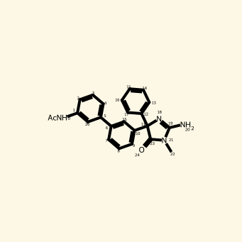 CC(=O)Nc1cccc(-c2cccc(C3(c4ccccc4)N=C(N)N(C)C3=O)c2)c1